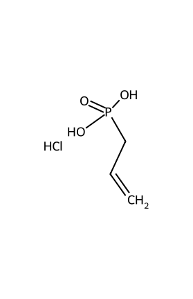 C=CCP(=O)(O)O.Cl